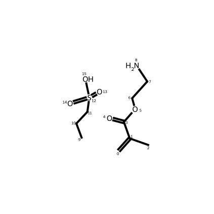 C=C(C)C(=O)OCCN.CCCS(=O)(=O)O